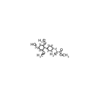 COC(=O)[C@@H](N)Cc1ccc(-c2c(OC)cc(CO)cc2OC)cc1